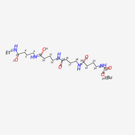 CCNC(=O)CCCNC(=O)CCCNC(=O)CCCNC(=O)CCCNC(=O)OC(C)(C)C